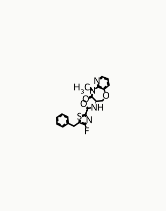 CN1C(=O)[C@@H](NC(=O)c2nc(F)c(Cc3ccccc3)s2)COc2cccnc21